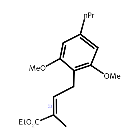 CCCc1cc(OC)c(C/C=C(\C)C(=O)OCC)c(OC)c1